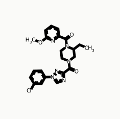 CCC1CN(C(=O)c2ncn(-c3cccc(Cl)c3)n2)CCN1C(=O)c1cccc(OC)n1